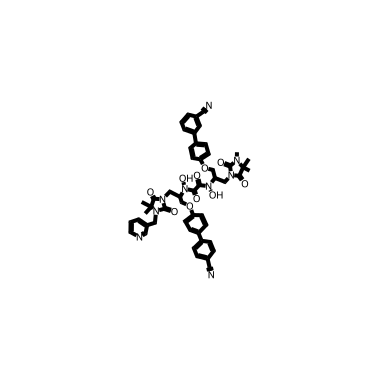 CN1C(=O)N(CC(COc2ccc(-c3cccc(C#N)c3)cc2)N(O)C(=O)C(=O)N(O)C(COc2ccc(-c3ccc(C#N)cc3)cc2)CN2C(=O)N(Cc3cccnc3)C(C)(C)C2=O)C(=O)C1(C)C